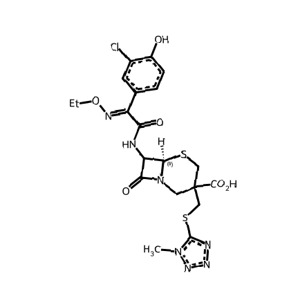 CCON=C(C(=O)NC1C(=O)N2CC(CSc3nnnn3C)(C(=O)O)CS[C@H]12)c1ccc(O)c(Cl)c1